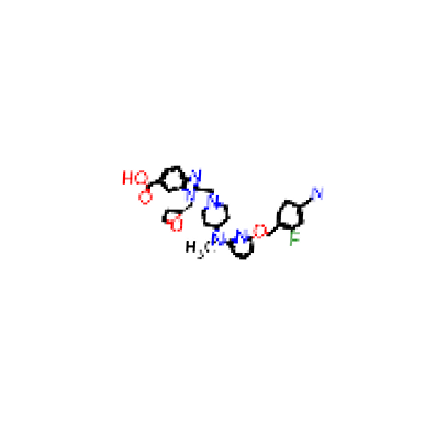 CN(c1cccc(OCC2=C(F)C=C(C#N)CC2)n1)C1CCN(Cc2nc3ccc(C(=O)O)cc3n2C[C@@H]2CCO2)CC1